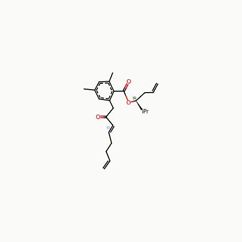 C=CCC/C=C/C(=O)Cc1cc(C)cc(C)c1C(=O)O[C@@H](CC=C)C(C)C